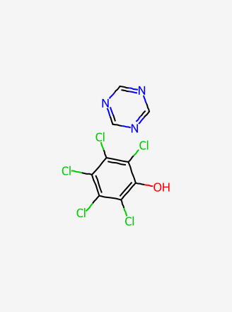 Oc1c(Cl)c(Cl)c(Cl)c(Cl)c1Cl.c1ncncn1